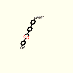 CCCCCc1ccc(-c2ccc(C3COC(c4ccc(C#N)cc4)OC3)cc2)cc1